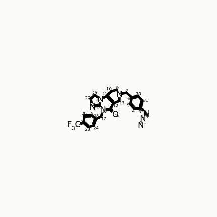 [N-]=[N+]=Nc1ccc(CN2CCC3=C(C2)C(=O)N(Cc2ccc(C(F)(F)F)cc2)C2=NCCN23)cc1